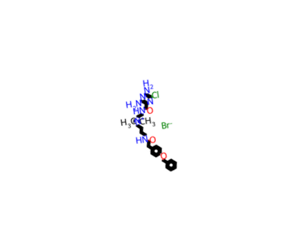 C[N+](C)(CCCCNC(=O)Cc1ccc(OCc2ccccc2)cc1)CCNC(=O)c1nc(Cl)c(N)nc1N.[Br-]